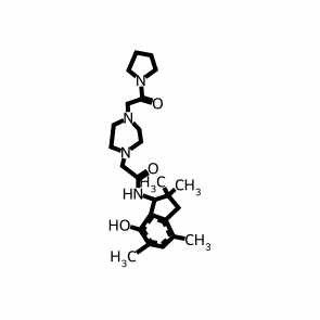 Cc1cc(C)c2c(c1O)C(NC(=O)CN1CCN(CC(=O)N3CCCC3)CC1)C(C)(C)C2